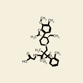 CC[C@H]1CN(C[C@@](C)(C(=O)NCC(=O)O)C(C)(C)c2ccccc2C)CC[C@]1(c1ccc(C)c(OC)c1)C(C)C